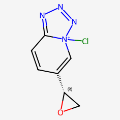 Cl[N+]12C=C([C@@H]3CO3)C=CC1=NN=N2